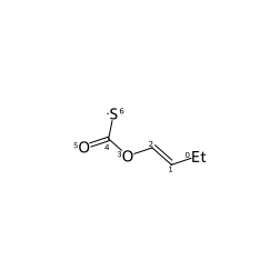 CCC=COC(=O)[S]